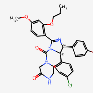 CCCOc1cc(OC)ccc1C1=N[C@@H](c2ccc(Br)cc2)[C@@H](c2ccc(Cl)cc2)N1C(=O)N1CCNC(=O)C1